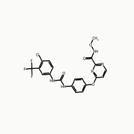 CONC(=O)c1nccc(Oc2ccc(NC(=O)Nc3ccc(Cl)c(C(F)(F)F)c3)cc2)n1